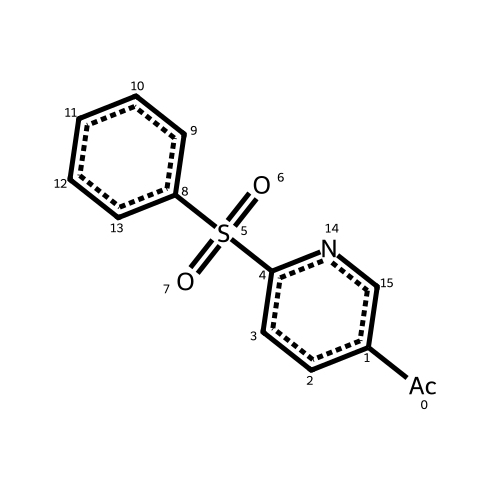 CC(=O)c1ccc(S(=O)(=O)c2ccccc2)nc1